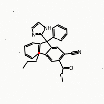 CCCCc1cc(C(=O)CC)c(C#N)cc1C(c1ccccc1)(c1ccccc1)c1ncc[nH]1